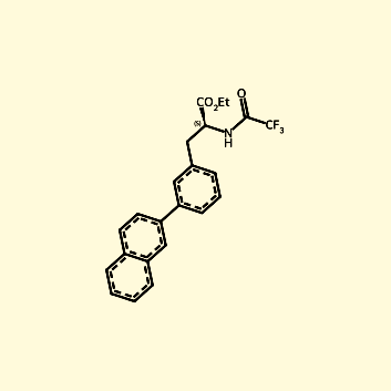 CCOC(=O)[C@H](Cc1cccc(-c2ccc3ccccc3c2)c1)NC(=O)C(F)(F)F